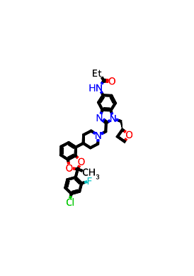 CCC(=O)Nc1ccc2c(c1)nc(CN1CCC(c3cccc4c3OC(C)(c3ccc(Cl)cc3F)O4)CC1)n2C[C@@H]1CCO1